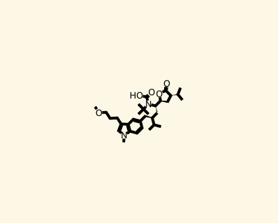 COCCCc1cn(C)c2ccc(C[C@@H](C[C@@H]([C@@H]3C[C@@H](C(C)C)C(=O)O3)N(C(=O)O)C(C)(C)C)C(C)C)cc12